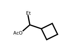 CCC(OC(C)=O)C1CCC1